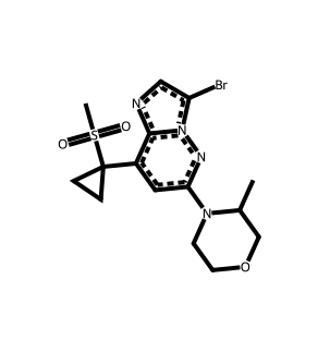 CC1COCCN1c1cc(C2(S(C)(=O)=O)CC2)c2ncc(Br)n2n1